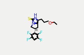 CCOCCCc1[nH]c(=S)n2c1C[C@H](c1c(F)c(F)cc(F)c1F)C2